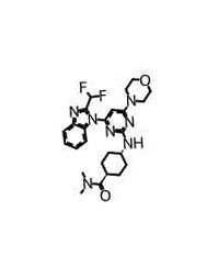 CN(C)C(=O)[C@H]1CC[C@H](Nc2nc(N3CCOCC3)cc(-n3c(C(F)F)nc4ccccc43)n2)CC1